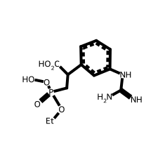 CCOP(=O)(CC(C(=O)O)c1cccc(NC(=N)N)c1)OO